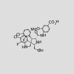 COc1cc(C(=O)O)ccc1NC(=O)[C@@H]1N[C@@H](CC(C)(C)C)[C@@]2(CNc3c2ccc(Cl)c3F)[C@H]1c1cccc(Cl)c1F